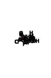 N[C@H](C(=O)Nc1cc(F)cc(F)c1CC[C@H]1CN[C@@H]2CCCS(O)(O)N1C2)[C@@H](c1ccc(Cl)cc1)C1CCOCC1